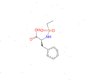 CCS(=O)(=O)N[C@@H](Cc1ccccc1)C(=O)O